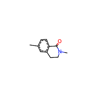 Cc1ccc2c(c1)CCN(C)C2=O